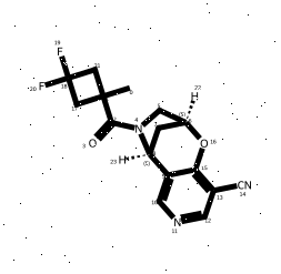 CC1(C(=O)N2C[C@@H]3C[C@H]2c2cncc(C#N)c2O3)CC(F)(F)C1